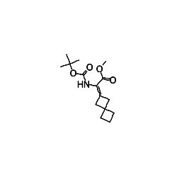 COC(=O)C(NC(=O)OC(C)(C)C)=C1CC2(CCC2)C1